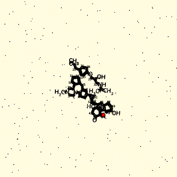 CN1CCN2c3ccccc3Cc3ccccc3C2C1.COCCc1ccc(OCC(O)CNC(C)C)cc1.O=C1CC[C@@]2(O)[C@H]3Cc4ccc(O)c5c4[C@@]2(CCN3CC2CC2)[C@H]1O5